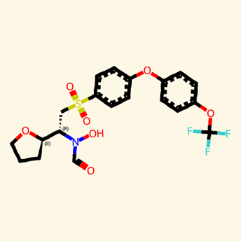 O=CN(O)[C@@H](CS(=O)(=O)c1ccc(Oc2ccc(OC(F)(F)F)cc2)cc1)[C@H]1CCCO1